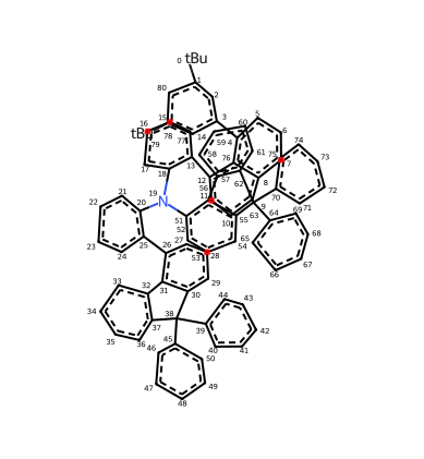 CC(C)(C)c1cc(-c2cccc3cccc(-c4ccccc4N(c4ccccc4-c4cccc5c4-c4ccccc4C5(c4ccccc4)c4ccccc4)c4cccc5c4-c4ccccc4C5(c4ccccc4)c4ccccc4)c23)cc(C(C)(C)C)c1